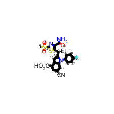 CC[C@H](c1sc(S(C)(=O)=O)nc1C(N)=O)c1cc2c(C(=O)O)cc(C#N)cc2n1-c1ccc(F)cc1